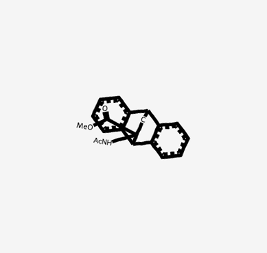 COC(=O)C1(NC(C)=O)CC2c3ccccc3C1c1ccccc12